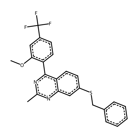 COc1cc(C(F)(F)F)ccc1-c1nc(C)nc2cc(SCc3ccccc3)ccc12